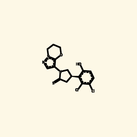 Oc1ccc(Cl)c(Cl)c1[C@H]1CC(=S)N(c2cnn3c2OCCC3)C1